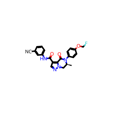 C[C@H]1Cn2ncc(C(=O)Nc3cccc(C#N)c3)c2C(=O)N1c1ccc(OCF)cc1